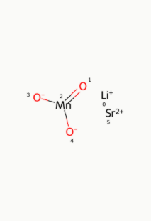 [Li+].[O]=[Mn]([O-])[O-].[Sr+2]